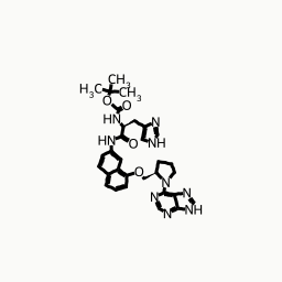 CC(C)(C)OC(=O)N[C@@H](Cc1c[nH]cn1)C(=O)Nc1ccc2cccc(OC[C@H]3CCCN3c3ncnc4[nH]cnc34)c2c1